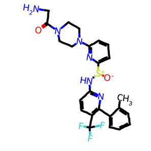 Cc1ccccc1-c1nc(N[S+]([O-])c2cccc(N3CCN(C(=O)CN)CC3)n2)ccc1C(F)(F)F